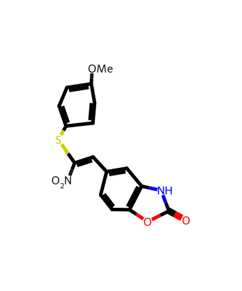 COc1ccc(S/C(=C/c2ccc3oc(=O)[nH]c3c2)[N+](=O)[O-])cc1